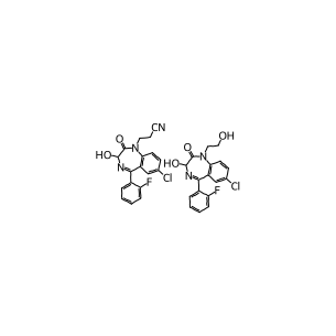 N#CCCN1C(=O)C(O)N=C(c2ccccc2F)c2cc(Cl)ccc21.O=C1C(O)N=C(c2ccccc2F)c2cc(Cl)ccc2N1CCO